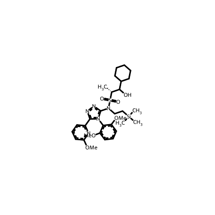 COc1cccc(-c2nnc(N(CC[Si](C)(C)C)S(=O)(=O)[C@H](C)C(O)C3CCCCC3)n2-c2c(OC)cccc2OC)n1